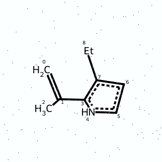 C=C(C)c1[nH]ccc1CC